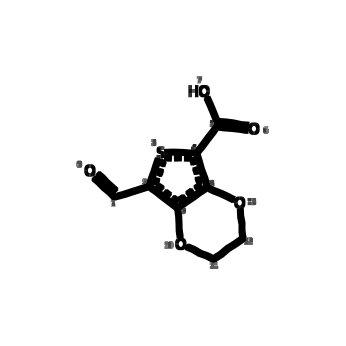 O=Cc1sc(C(=O)O)c2c1OCCO2